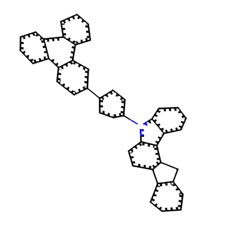 c1ccc2c(c1)Cc1c-2ccc2c1c1ccccc1n2-c1ccc(-c2ccc3c4ccccc4c4ccccc4c3c2)cc1